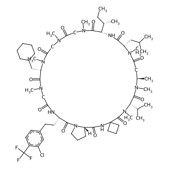 CC[C@H](C)[C@@H]1NC(=O)[C@H](CC(C)C)N(C)C(=O)C[C@@H](C)N(C)C(=O)[C@H](C(C)C)N(C)C(=O)C2(CCC2)NC(=O)[C@@H]2CCCN2C(=O)[C@H](CCc2ccc(C(F)(F)F)c(Cl)c2)NC(=O)CN(C)C(=O)[C@H](CC2CCCCC2)N(C)C(=O)CN(C)C(=O)CN(C)C1=O